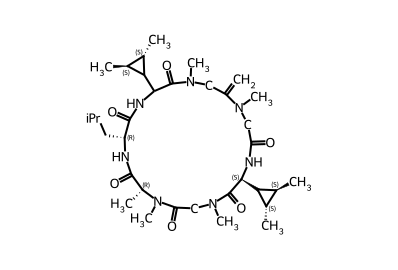 C=C1CN(C)C(=O)C(C2[C@@H](C)[C@@H]2C)NC(=O)[C@@H](CC(C)C)NC(=O)[C@@H](C)N(C)C(=O)CN(C)C(=O)[C@H](C2[C@@H](C)[C@@H]2C)NC(=O)CN1C